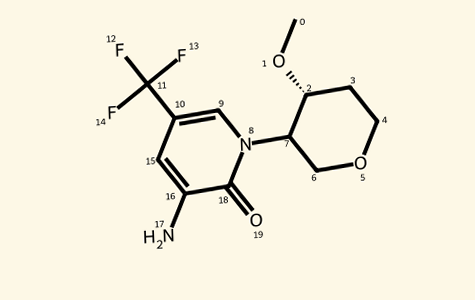 CO[C@@H]1CCOCC1n1cc(C(F)(F)F)cc(N)c1=O